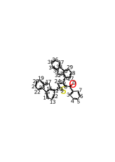 O=C(c1ccccc1)c1sc(-c2cccc3c2Cc2ccccc2-3)cc1-c1cccc2c1Cc1ccccc1-2